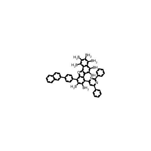 Bc1c(B)c(-c2cc(-c3ccccc3)nc(-c3ccccc3)n2)c2c(oc3c4c(B)c(B)c(B)c(B)c4c(B)c(B)c32)c1-c1ccc(-c2ccc3ccccc3c2)cc1